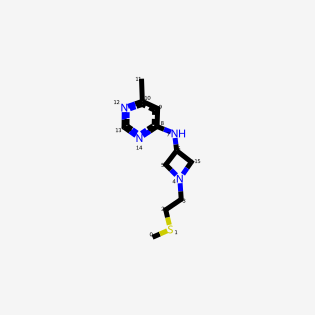 CSCCN1CC(Nc2cc(C)ncn2)C1